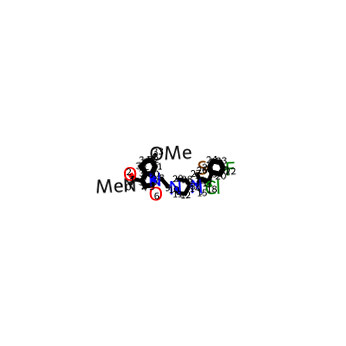 CNC(=O)c1cc(=O)n(CCN2CCC(N(C)C3=C(Cl)c4cc(F)ccc4SC3)CC2)c2cc(OC)ccc12